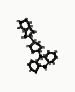 c1ccc2c(c1)Oc1ccccc1N2c1ccc(-c2nc3ccncc3s2)cc1